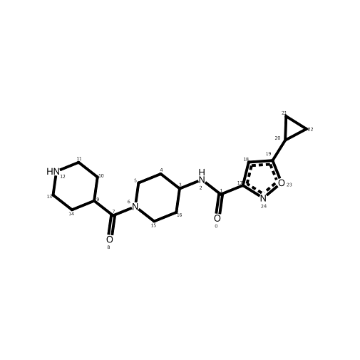 O=C(NC1CCN(C(=O)C2CCNCC2)CC1)c1cc(C2CC2)on1